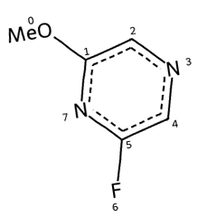 COc1cncc(F)n1